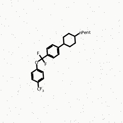 CCCCCC1CCC(c2ccc(C(F)(F)Oc3ccc(C(F)(F)F)cc3)cc2)CC1